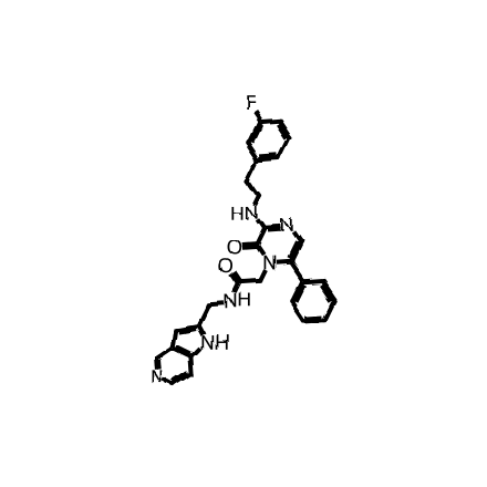 O=C(Cn1c(-c2ccccc2)cnc(NCCc2cccc(F)c2)c1=O)NCc1cc2cnccc2[nH]1